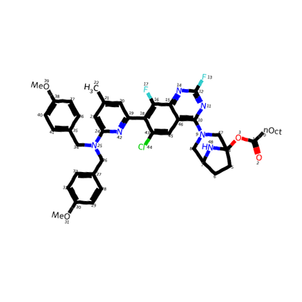 CCCCCCCCC(=O)OC12CCC(CN(c3nc(F)nc4c(F)c(-c5cc(C)cc(N(Cc6ccc(OC)cc6)Cc6ccc(OC)cc6)n5)c(Cl)cc34)C1)N2